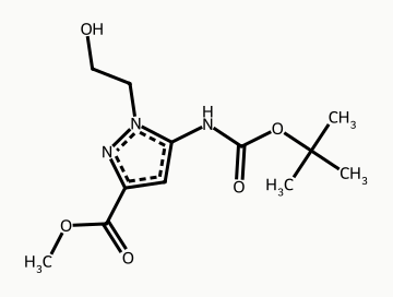 COC(=O)c1cc(NC(=O)OC(C)(C)C)n(CCO)n1